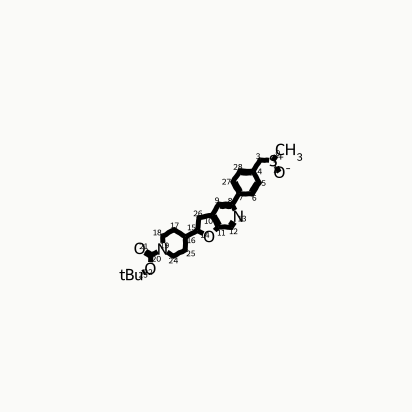 C[S+]([O-])Cc1ccc(-c2cc3c(cn2)OC(C2CCN(C(=O)OC(C)(C)C)CC2)C3)cc1